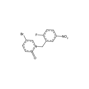 O=c1ccc(Br)cn1Cc1cc([N+](=O)[O-])ccc1F